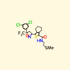 CSCCNC(=O)c1sc(C2=NOC(c3cc(Cl)cc(Cl)c3)(C(F)(F)F)C2)c2c1CCCC2